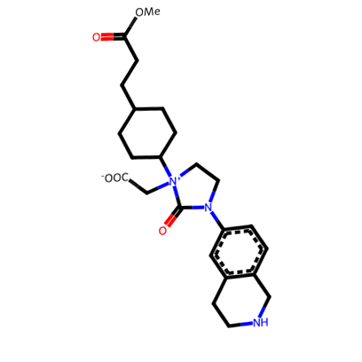 COC(=O)CCC1CCC([N+]2(CC(=O)[O-])CCN(c3ccc4c(c3)CCNC4)C2=O)CC1